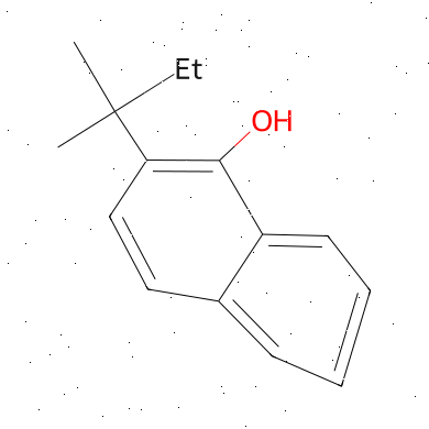 CCC(C)(C)c1ccc2ccccc2c1O